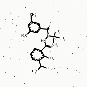 Cc1cc(C)cc(C(=O)N(NC(=O)c2cccc(C(C)C)c2C)C(C)(C)C)c1